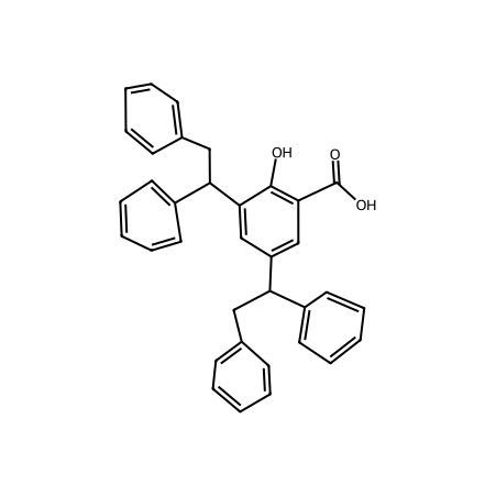 O=C(O)c1cc(C(Cc2ccccc2)c2ccccc2)cc(C(Cc2ccccc2)c2ccccc2)c1O